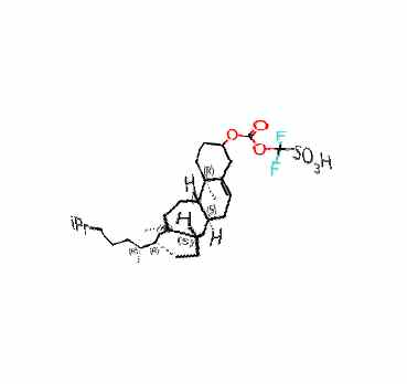 CC(C)CCC[C@@H](C)[C@H]1CC[C@H]2[C@@H]3CC=C4CC(OC(=O)OC(F)(F)S(=O)(=O)O)CC[C@]4(C)[C@H]3CC[C@]12C